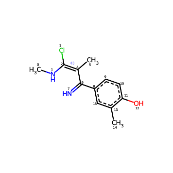 CN/C(Cl)=C(/C)C(=N)c1ccc(O)c(C)c1